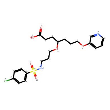 O=C(O)CCC(CCCOc1cccnc1)OCCCNS(=O)(=O)c1ccc(Cl)cc1